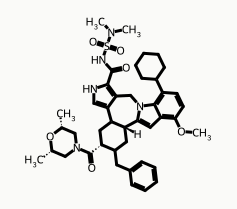 COc1ccc(C2CCCCC2)c2c1cc1n2Cc2c(c[nH]c2C(=O)NS(=O)(=O)N(C)C)C2C[C@@H](C(=O)N3C[C@@H](C)O[C@@H](C)C3)C(Cc3ccccc3)C[C@@H]12